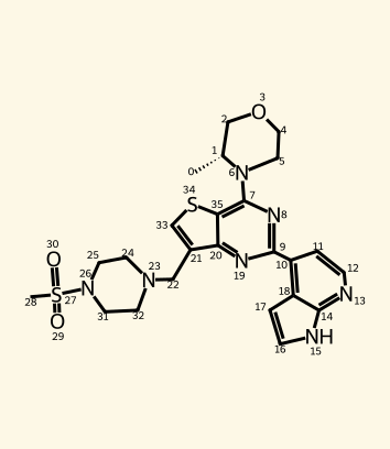 C[C@@H]1COCCN1c1nc(-c2ccnc3[nH]ccc23)nc2c(CN3CCN(S(C)(=O)=O)CC3)csc12